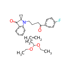 C=C.CCOC(C)OCC.O=C(CCCN1c2ccccc2C(=O)C12CC2)c1ccc(F)cc1